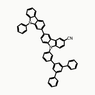 N#Cc1ccc2c(c1)c1cc(-c3ccc4c5ccccc5n(-c5ccccc5)c4c3)ccc1n2-c1cccc(-c2cc(-c3ccccc3)cc(-c3ccccc3)c2)c1